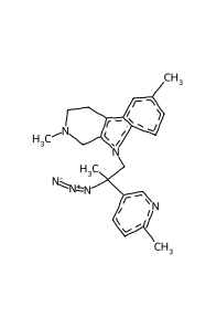 Cc1ccc2c(c1)c1c(n2CC(C)(N=[N+]=[N-])c2ccc(C)nc2)CN(C)CC1